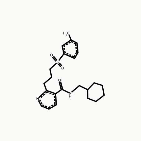 Cc1cccc(S(=O)(=O)CCCc2ncccc2C(=O)NCC2CCCCC2)c1